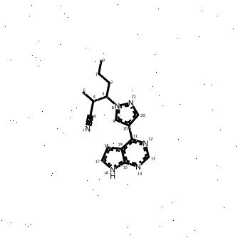 CCCC(C(C)C#N)n1cc(-c2ncnc3[nH]ccc23)cn1